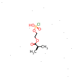 C=C(C)C(=O)OCCOP(=O)(O)Cl